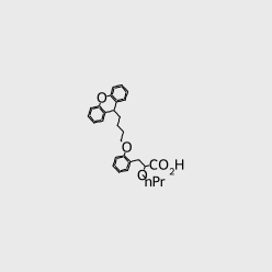 CCCOC(Cc1ccccc1OCCCCC1c2ccccc2Oc2ccccc21)C(=O)O